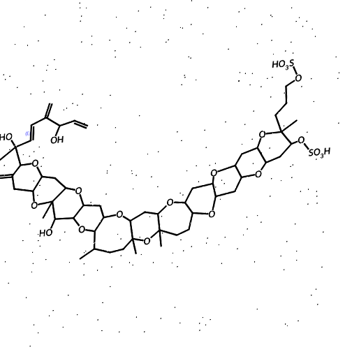 C=CC(O)C(=C)/C=C/C(C)(O)C1OC2CC3OC4CC5OC6CC7OC8CC9OC%10CC%11OC(C)(CCCOS(=O)(=O)O)C(OS(=O)(=O)O)CC%11OC%10CC9OC8CCC7(C)OC6(C)CCC(C)C5OC4C(O)C3(C)OC2CC1=C